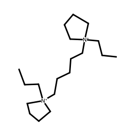 CCC[N+]1(CCCCC[N+]2(CCC)CCCC2)CCCC1